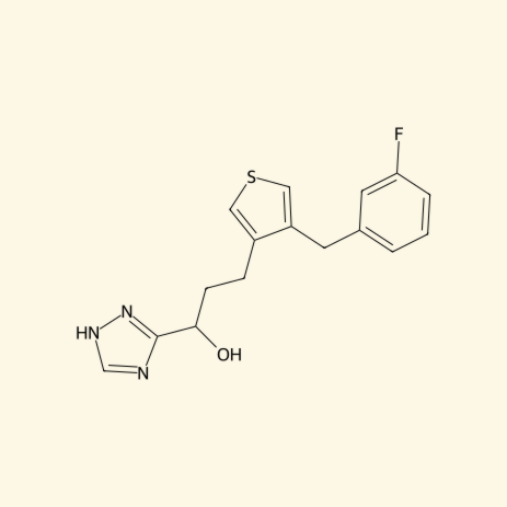 OC(CCc1cscc1Cc1cccc(F)c1)c1nc[nH]n1